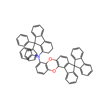 C1=C2C(=C(N(c3ccccc3)c3cccc4c3Oc3ccc5c(c3O4)-c3ccccc3C53c4ccccc4-c4ccccc43)CC1)C(c1ccccc1)(c1ccccc1)c1ccccc12